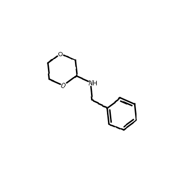 c1ccc(CNC2COCCO2)cc1